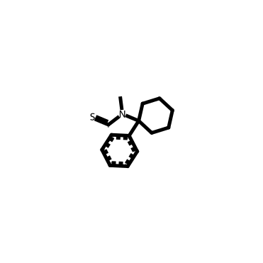 CN([C]=S)C1(c2ccccc2)CCCCC1